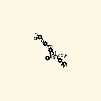 CC[C@@H](c1ccccc1)N1Cc2cc3c(cc2C[C@H]1C(=O)NC(Cc1ccc(-c2ccnc(C)c2C)cc1)C(=O)O)OC[C@H](c1ccc(OCc2ccc(Cl)c(Cl)c2)cc1)O3